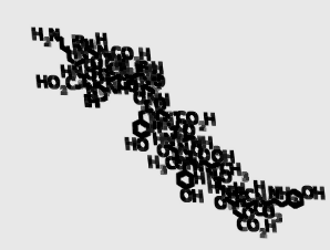 CC[C@H](C)[C@H](NC(=O)[C@H](CCCCN)NC(=O)[C@H](CC(=O)O)NC(=O)[C@H](CC(C)C)NC(=O)C(C)(C)NC(=O)[C@@H](NC(=O)[C@H](CO)NC(=O)[C@H](Cc1ccc(O)cc1)NC(=O)[C@H](CC(=O)O)NC(=O)[C@H](CC(N)=O)NC(=O)[C@@H](NC(=O)[C@H](Cc1ccc(O)cc1)NC(=O)[C@@H](NC(=O)CNC(=O)[C@H](CCC(=O)O)NC(=O)C(C)(C)NC(=O)[C@@H](N)Cc1ccc(O)cc1)[C@@H](C)O)[C@@H](C)O)[C@@H](C)CC)C(=O)N[C@@H](C)C(=O)O